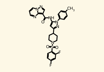 Cc1ccc(-n2nc(C3CCN(S(=O)(=O)c4ccc(F)cc4F)CC3)cc2NC(=O)c2cnn3cccnc23)cc1